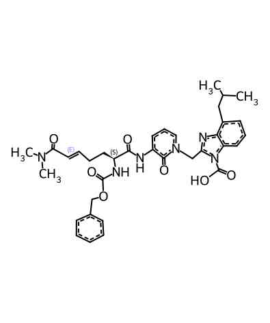 CC(C)Cc1cccc2c1nc(Cn1cccc(NC(=O)[C@H](CC/C=C/C(=O)N(C)C)NC(=O)OCc3ccccc3)c1=O)n2C(=O)O